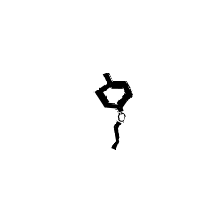 CCCOc1ccc(C)cc1